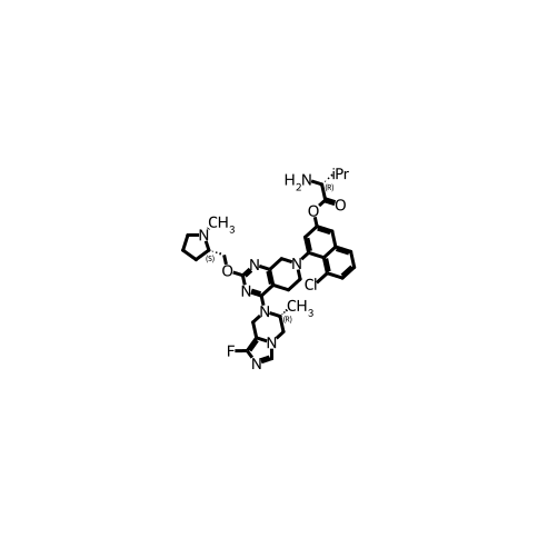 CC(C)[C@@H](N)C(=O)Oc1cc(N2CCc3c(nc(OC[C@@H]4CCCN4C)nc3N3Cc4c(F)ncn4C[C@H]3C)C2)c2c(Cl)cccc2c1